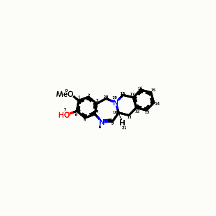 COc1cc2c(cc1O)N=C[C@@H]1Cc3ccccc3CN1C2